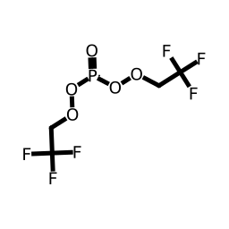 O=[P](OOCC(F)(F)F)OOCC(F)(F)F